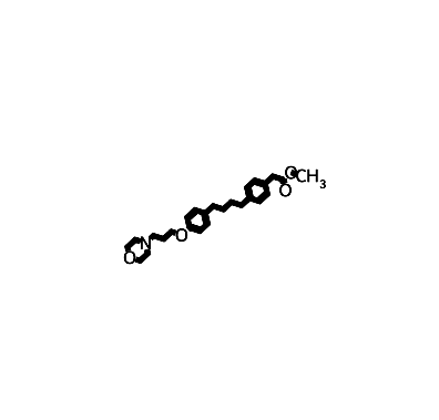 COC(=O)Cc1ccc(CCCCc2ccc(OCCCN3CCOCC3)cc2)cc1